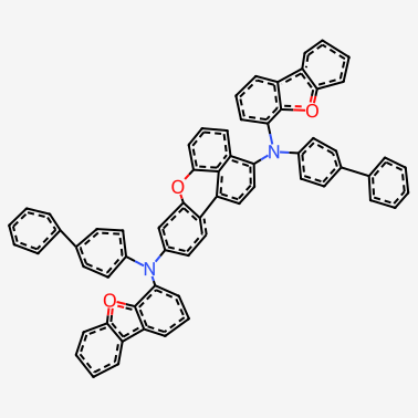 c1ccc(-c2ccc(N(c3ccc4c(c3)Oc3cccc5c(N(c6ccc(-c7ccccc7)cc6)c6cccc7c6oc6ccccc67)ccc-4c35)c3cccc4c3oc3ccccc34)cc2)cc1